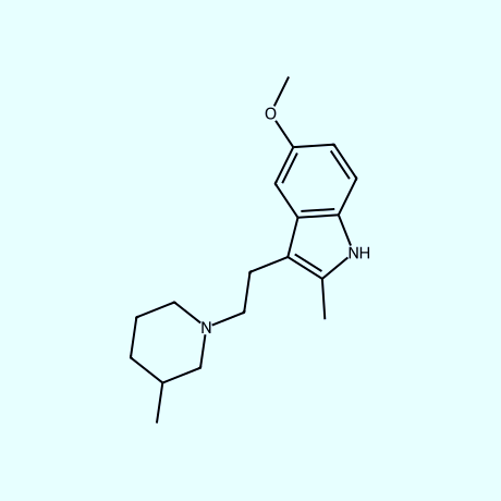 COc1ccc2[nH]c(C)c(CCN3CCCC(C)C3)c2c1